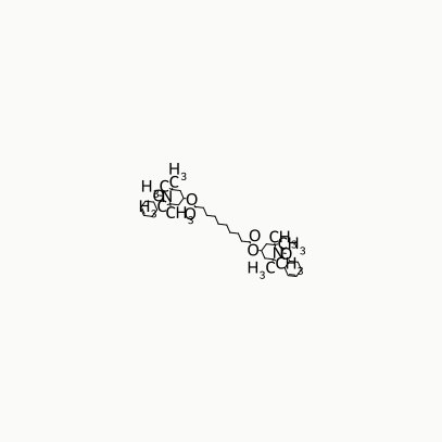 CC1(C)CC(OC(=O)CCCCCCCCC(=O)OC2CC(C)(C)N(OC3CC=CCC3)C(C)(C)C2)CC(C)(C)N1OC1CC=CCC1